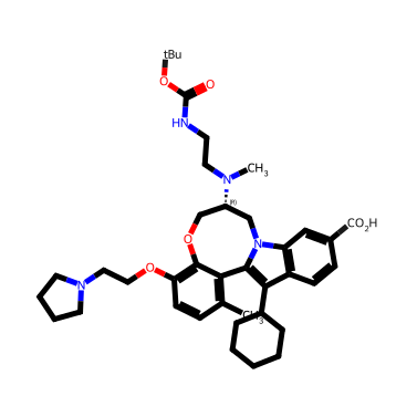 Cc1ccc(OCCN2CCCC2)c2c1-c1c(C3CCCCC3)c3ccc(C(=O)O)cc3n1C[C@@H](N(C)CCNC(=O)OC(C)(C)C)CO2